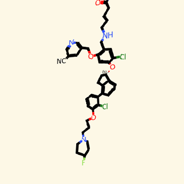 N#Cc1cncc(COc2cc(O[C@H]3CCc4c(-c5cccc(OCCCN6CCC(F)CC6)c5Cl)cccc43)c(Cl)cc2CNCCCCC(N)=O)c1